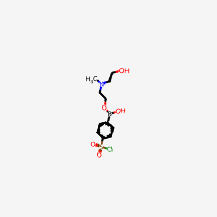 CN(CCO)CCOB(O)c1ccc(S(=O)(=O)Cl)cc1